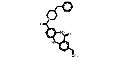 C=Cc1ccc2c(c1)C(=O)Nc1cc(C(=O)N3CCC(Cc4ccccc4)CC3)ccc1N2